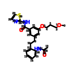 COCCCOc1cc(CCc2ccccc2NC(C)=O)cc(C(=O)Nc2nccs2)c1